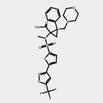 CN(C1(C(=O)O)C[C@@]1(CN1CCOCC1)c1ccccc1)S(=O)(=O)c1ccc(-c2cc(C(F)(F)F)on2)s1